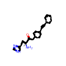 N[C@@H](Cc1c[nH]cn1)C(=O)Cc1ccc(C#Cc2ccccc2)cc1